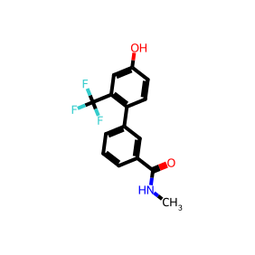 CNC(=O)c1cccc(-c2ccc(O)cc2C(F)(F)F)c1